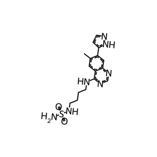 Cc1cc2c(NCCCCNS(N)(=O)=O)ncnc2cc1-c1ccn[nH]1